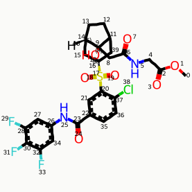 COC(=O)CNC(=O)C[C@@]1(O)C2CC[C@H]1C[C@H](S(=O)(=O)c1cc(C(=O)Nc3cc(F)c(F)c(F)c3)ccc1Cl)C2